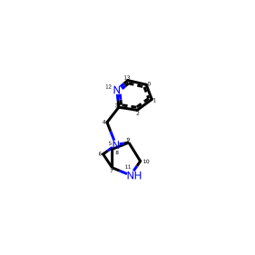 c1ccc(CN2CC3CC2CN3)nc1